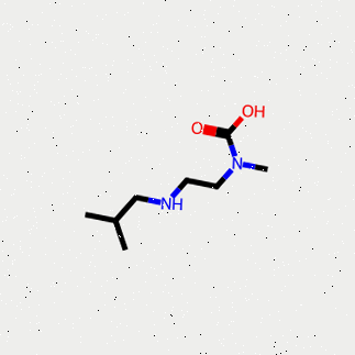 CC(C)CNCCN(C)C(=O)O